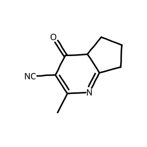 CC1=C(C#N)C(=O)C2CCCC2=N1